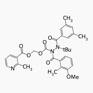 COc1cccc(C(=O)N(C(=O)OCOC(=O)c2cccnc2C)N(C(=O)c2cc(C)cc(C)c2)C(C)(C)C)c1C